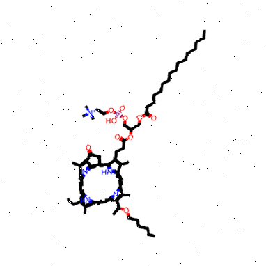 CCCCCCCCCCCCCCCC(=O)OCC(COP(=O)(O)OCC[N+](C)(C)C)OC(=O)CCC1c2[nH]c(cc3nc(cc4[nH]c(cc5nc6c2CC(=O)C6=C5C)c(CC)c4C)C(C(C)OCCCCCC)=C3C)C1C